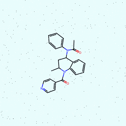 CC(=O)N(c1ccccc1)C1CC(C)N(C(=O)c2ccncc2)c2ccccc21